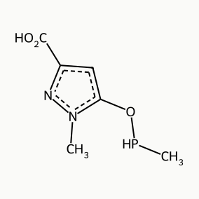 CPOc1cc(C(=O)O)nn1C